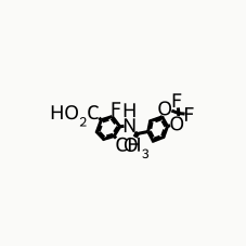 Cc1ccc(C(=O)O)c(F)c1NC(=O)c1ccc2c(c1)OC(F)(F)O2